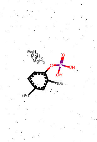 CC(C)(C)c1ccc(OP(=O)(O)O)c(C(C)(C)C)c1.[MgH2].[MgH2].[MgH2]